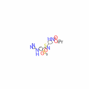 CC(C)OC(=O)NC1CCC(c2ncc(-c3ccc(Nc4cnn(C)c4)cc3S(=O)(=O)C3CC3)s2)CC1